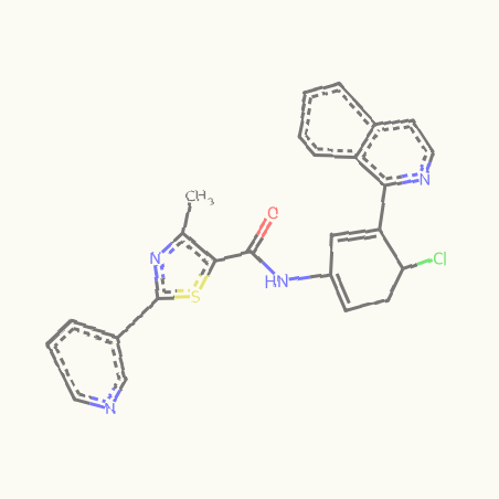 Cc1nc(-c2cccnc2)sc1C(=O)NC1=CCC(Cl)C(c2nccc3ccccc23)=C1